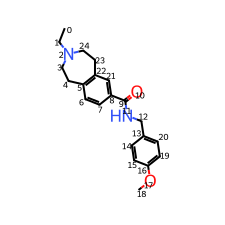 CCN1CCc2ccc(C(=O)NCc3ccc(OC)cc3)cc2CC1